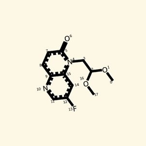 COC(Cn1c(=O)ccc2ncc(F)cc21)OC